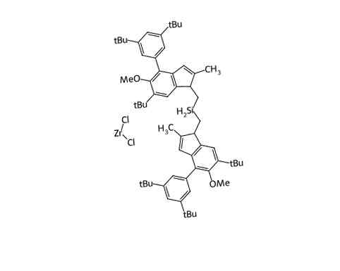 COc1c(C(C)(C)C)cc2c(c1-c1cc(C(C)(C)C)cc(C(C)(C)C)c1)C=C(C)C2C[SiH2]CC1C(C)=Cc2c1cc(C(C)(C)C)c(OC)c2-c1cc(C(C)(C)C)cc(C(C)(C)C)c1.[Cl][Zr][Cl]